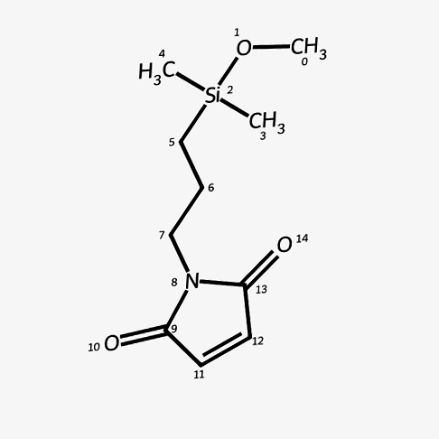 CO[Si](C)(C)CCCN1C(=O)C=CC1=O